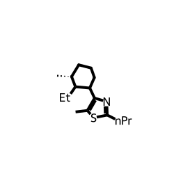 CCCc1nc(C2CCC[C@@H](C)C2CC)c(C)s1